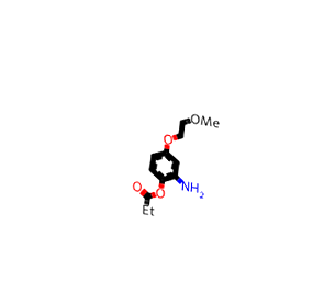 CCC(=O)Oc1ccc(OCCOC)cc1N